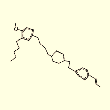 C/C=C/c1ccc(CCC2CCC(CCCCc3ccc(OC)c(CCCCC)c3)CC2)cc1